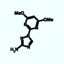 COc1cc(OC)nc(-n2cnc(N)n2)n1